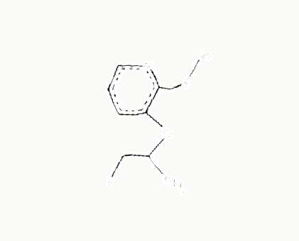 CC(CF)Oc1cccnc1SC(C)C